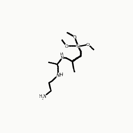 CO[Si](CC(C)NC(C)NCCN)(OC)OC